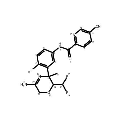 CC1(c2cc(NC(=O)c3ccc(C#N)cn3)ccc2F)N=C(N)COC1C(F)F